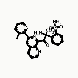 Cc1cccnc1-c1cc2cccnc2c(C(=O)C(N)(C(=O)O)c2ccccc2S(N)(=O)=O)n1